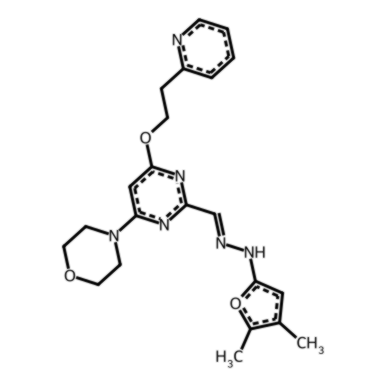 Cc1cc(NN=Cc2nc(OCCc3ccccn3)cc(N3CCOCC3)n2)oc1C